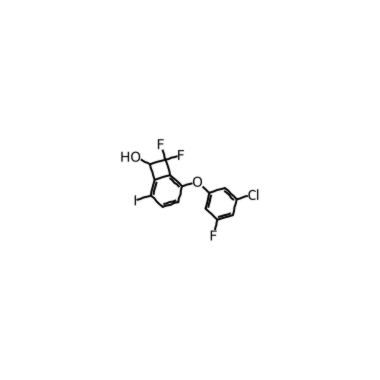 OC1c2c(I)ccc(Oc3cc(F)cc(Cl)c3)c2C1(F)F